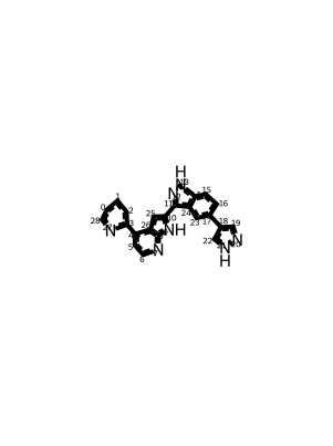 c1ccc(-c2ccnc3[nH]c(-c4n[nH]c5ccc(-c6cn[nH]c6)cc45)cc23)nc1